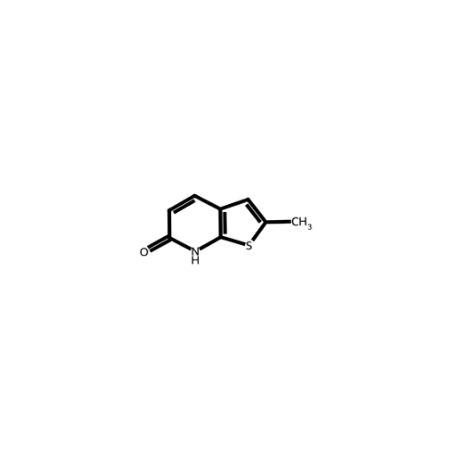 Cc1cc2ccc(=O)[nH]c2s1